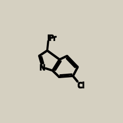 CC(C)C1C=Nc2cc(Cl)ccc21